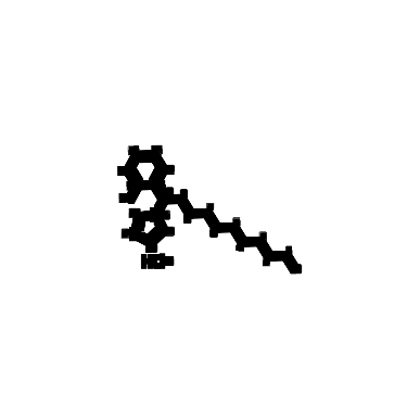 CCCCCCCCCCC(c1ccccc1C)n1ccnc1.Cl